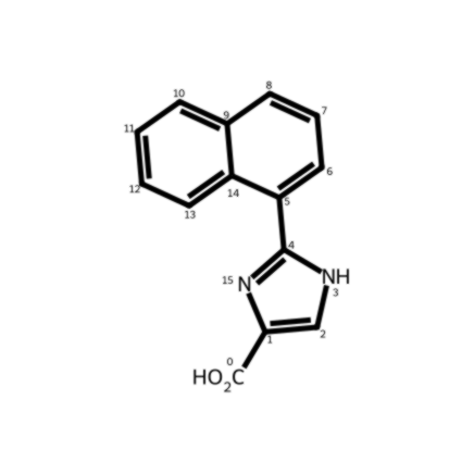 O=C(O)c1c[nH]c(-c2cccc3ccccc23)n1